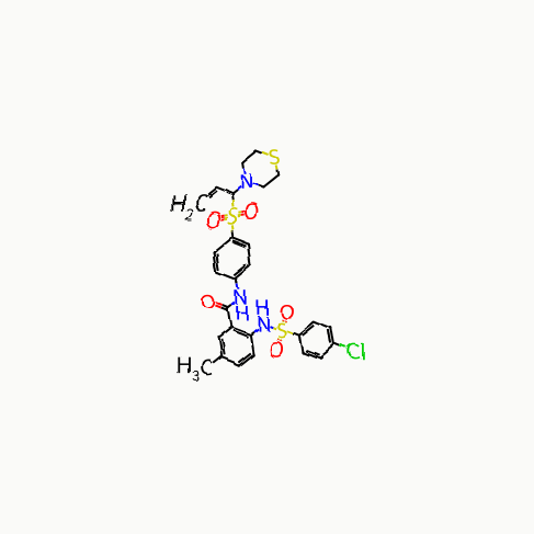 C=CC(N1CCSCC1)S(=O)(=O)c1ccc(NC(=O)c2cc(C)ccc2NS(=O)(=O)c2ccc(Cl)cc2)cc1